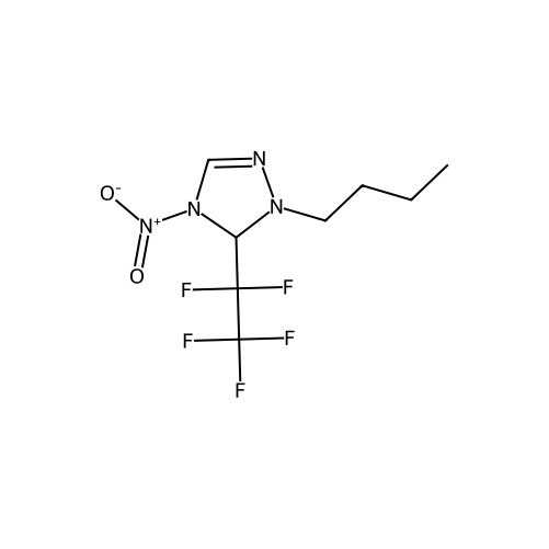 CCCCN1N=CN([N+](=O)[O-])C1C(F)(F)C(F)(F)F